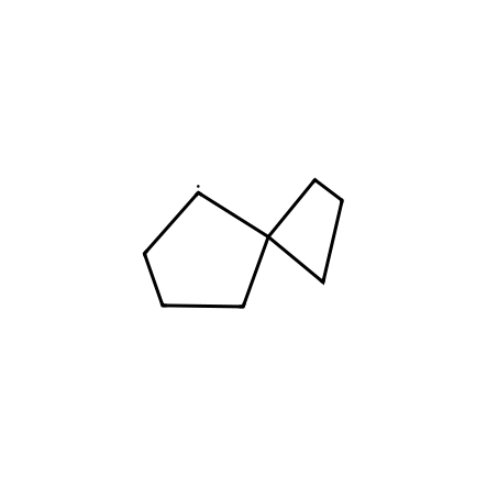 [CH]1CCCC12CCC2